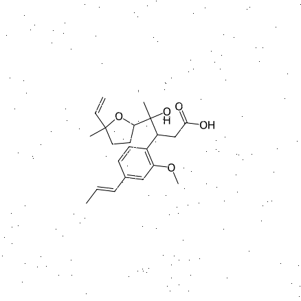 C=CC1(C)CCC(C(C)(O)C(CC(=O)O)c2ccc(C=CC)cc2OC)O1